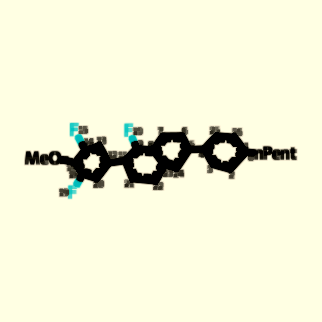 CCCCCc1ccc(-c2ccc3c(F)c(-c4cc(F)c(OC)c(F)c4)ccc3c2)cc1